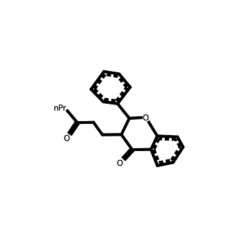 CCCC(=O)CCC1C(=O)c2ccccc2OC1c1ccccc1